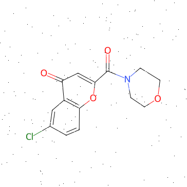 O=C(c1cc(=O)c2cc(Cl)ccc2o1)N1CCOCC1